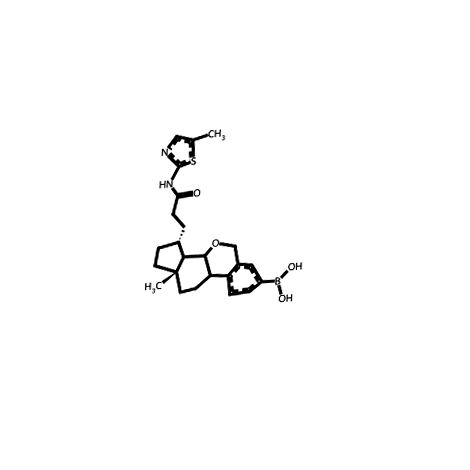 Cc1cnc(NC(=O)CC[C@H]2CC[C@@]3(C)CCC4c5ccc(B(O)O)cc5COC4C23)s1